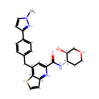 Cn1ccc(-c2ccc(Cc3cc(C(=O)N[C@H]4CCOC[C@@H]4O)nc4ccsc34)cc2)n1